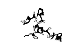 CCCOC(=O)n1nc(NC(=O)c2ccccc2NC(=O)c2cc[nH]c2)c2cc(C(=O)NC(C)(C)c3ccccc3)sc21